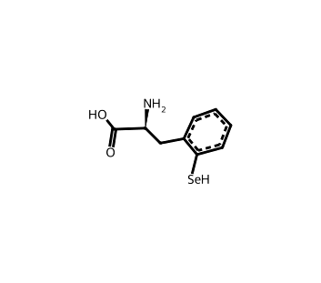 N[C@@H](Cc1ccccc1[SeH])C(=O)O